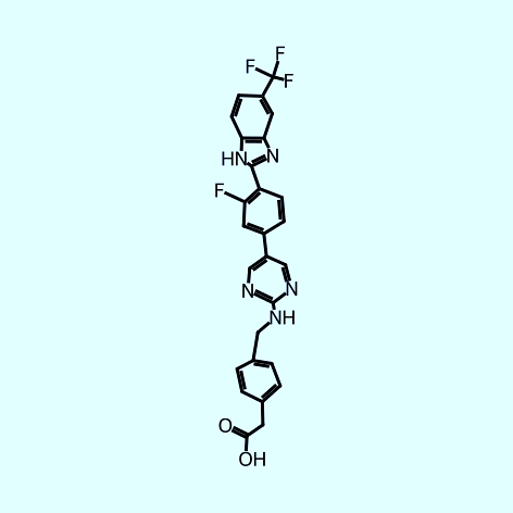 O=C(O)Cc1ccc(CNc2ncc(-c3ccc(-c4nc5cc(C(F)(F)F)ccc5[nH]4)c(F)c3)cn2)cc1